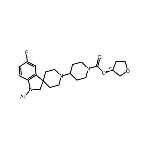 CC(=O)N1CC2(CCN(C3CCN(C(=O)O[C@H]4CCOC4)CC3)CC2)c2cc(F)ccc21